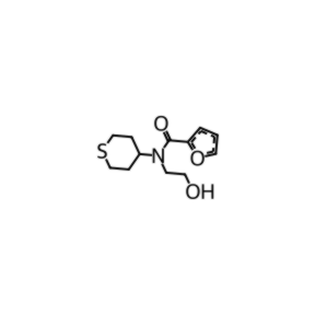 O=C(c1ccco1)N(CCO)C1CCSCC1